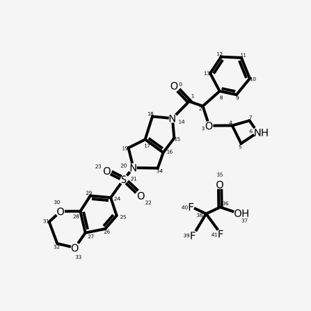 O=C(C(OC1CNC1)c1ccccc1)N1CC2=C(C1)CN(S(=O)(=O)c1ccc3c(c1)OCCO3)C2.O=C(O)C(F)(F)F